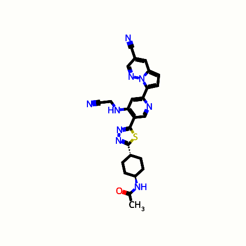 CC(=O)N[C@H]1CC[C@H](c2nnc(-c3cnc(-c4ccc5cc(C#N)cnn45)cc3NCC#N)s2)CC1